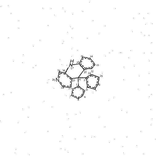 c1ccc(C2(c3ccccc3)c3ccccc3Nc3cnccc32)cc1